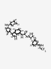 Cc1cnc(Nc2cc(C)n(C)n2)nc1-c1c[nH]c2c(NC(=O)CN3CCC(Oc4ccnc(NCC(F)(F)F)n4)C3)cccc12